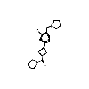 O=C(C1CC(c2ccc(CN3CCCC3)c(F)c2)C1)N1CCCC1